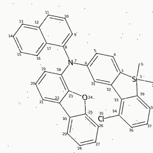 C[Si]1(C)c2ccc(N(c3cccc4ccccc34)c3cccc4c3oc3ccccc34)cc2-c2c(Cl)cccc21